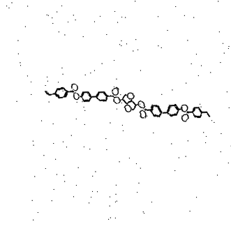 CCc1ccc(C(=O)Oc2ccc(-c3ccc(C(=O)OC4COC5C(OC(=O)c6ccc(-c7ccc(OC(=O)c8ccc(CC)cc8)cc7)cc6)COC45)cc3)cc2)cc1